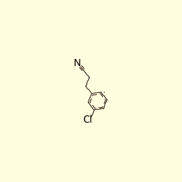 N#CCCc1[c]ccc(Cl)c1